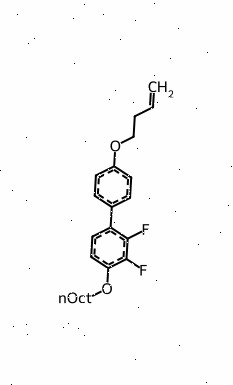 C=CCCOc1ccc(-c2ccc(OCCCCCCCC)c(F)c2F)cc1